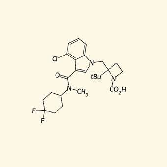 CN(C(=O)c1cn(CC2(C(C)(C)C)CCN2C(=O)O)c2cccc(Cl)c12)C1CCC(F)(F)CC1